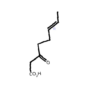 C/C=C/CCC(=O)CC(=O)O